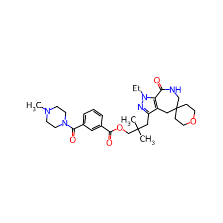 CCn1nc(CC(C)(C)COC(=O)c2cccc(C(=O)N3CCN(C)CC3)c2)c2c1C(=O)NCC1(CCOCC1)C2